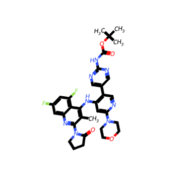 Cc1c(N2CCCC2=O)nc2cc(F)cc(F)c2c1Nc1cc(N2CCOCC2)ncc1-c1cnc(NC(=O)OC(C)(C)C)nc1